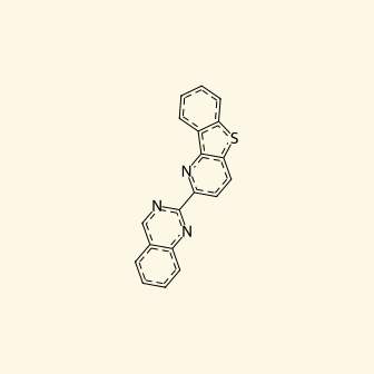 c1ccc2nc(-c3ccc4sc5ccccc5c4n3)ncc2c1